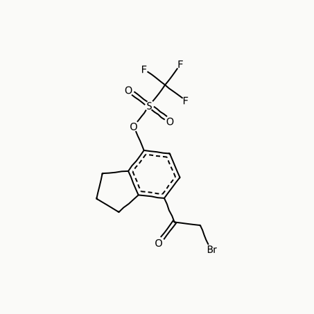 O=C(CBr)c1ccc(OS(=O)(=O)C(F)(F)F)c2c1CCC2